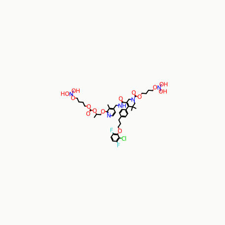 Cc1c(CNC(=O)C2=C(c3ccc(CCCOc4c(F)ccc(F)c4Cl)cc3)C(C)(C)CN(C(=O)OCCCCON(O)O)C2)ccnc1OCC(C)OC(=O)OCCCCON(O)O